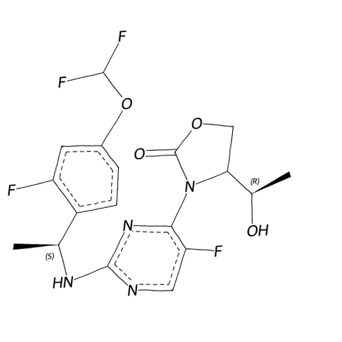 C[C@H](Nc1ncc(F)c(N2C(=O)OCC2[C@@H](C)O)n1)c1ccc(OC(F)F)cc1F